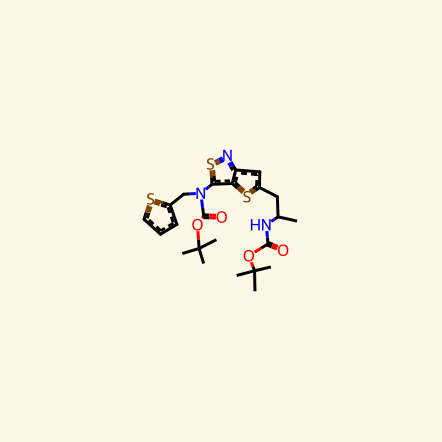 CC(Cc1cc2nsc(N(Cc3cccs3)C(=O)OC(C)(C)C)c2s1)NC(=O)OC(C)(C)C